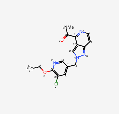 CNC(=O)c1nccc2nn(Cc3cnc(OCC(F)(F)F)c(Cl)c3)cc12